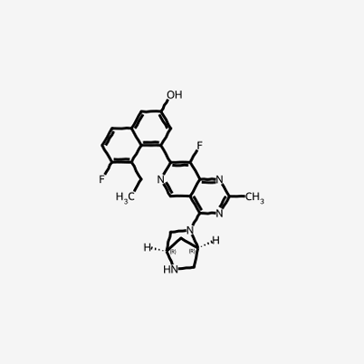 CCc1c(F)ccc2cc(O)cc(-c3ncc4c(N5C[C@H]6C[C@@H]5CN6)nc(C)nc4c3F)c12